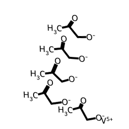 CC(=O)C[O-].CC(=O)C[O-].CC(=O)C[O-].CC(=O)C[O-].CC(=O)C[O-].[V+5]